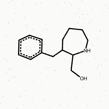 OCC1NCCCCC1Cc1ccccc1